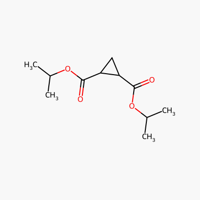 CC(C)OC(=O)C1CC1C(=O)OC(C)C